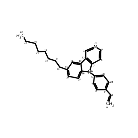 C=Cc1ccc(-n2c3ccncc3c3cc(CCCCCCCC)ccc32)cc1